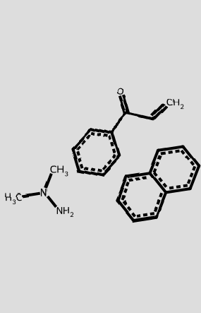 C=CC(=O)c1ccccc1.CN(C)N.c1ccc2ccccc2c1